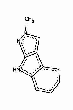 Cn1cc2c(n1)[nH]c1ccccc12